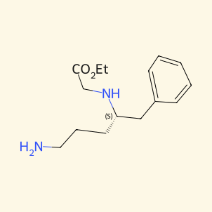 CCOC(=O)CN[C@@H](CCCN)Cc1ccccc1